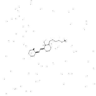 C=C1/C(=C\C=C2/CCC[C@]3(C)[C@@H]([C@H](C)CC[C@@H](F)C(C)(C)O)CC[C@@H]23)C[C@@H](O)C[C@@H]1O